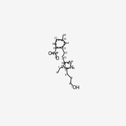 CCn1c(CCCO)nnc1SCc1cc(C)ccc1[N+](=O)[O-]